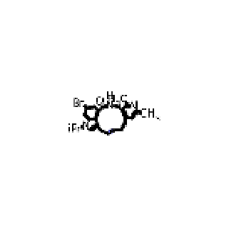 Cc1cc2c(c(C)n1)CNC(=O)c1cc(Br)cc3c1c(cn3C(C)C)C/C=C/CC2